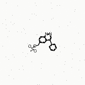 CS(=O)(=O)OCc1ccc2nncc(-c3ccccc3)c2c1